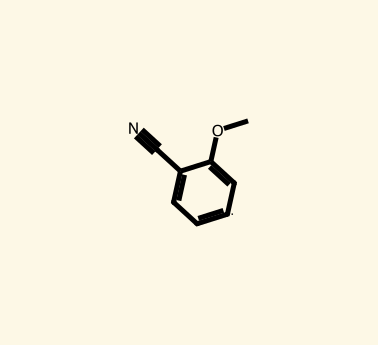 COc1c[c]ccc1C#N